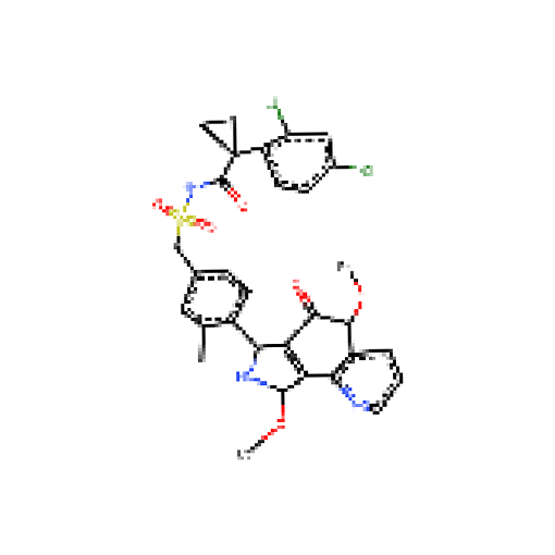 CCOC1NC(c2ccc(CS(=O)(=O)NC(=O)C3(c4ccc(Cl)cc4Cl)CC3)cc2C)C2=C1c1ncccc1C(OCC)C2=O